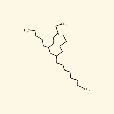 CCCCCCCCC([CH]C(CCCCC)CCCCC)CCCC